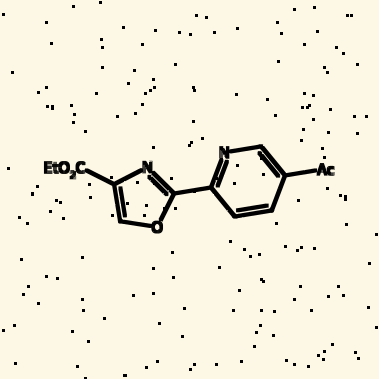 CCOC(=O)c1coc(-c2ccc(C(C)=O)cn2)n1